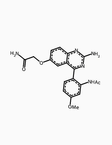 COc1ccc(-c2nc(N)nc3ccc(OCC(N)=O)cc23)c(NC(C)=O)c1